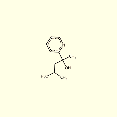 CC(C)CC(C)(O)c1ccccn1